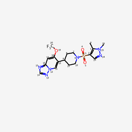 Cc1c(S(=O)(=O)N2CCC(c3cn4ncnc4cc3OC(F)(F)F)CC2)cnn1C